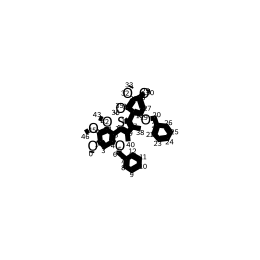 COc1cc(OCc2ccccc2)c(-c2sc(-c3c(OCc4ccccc4)cc(OC)c(OC)c3OC)c(C)c2C)c(OC)c1OC